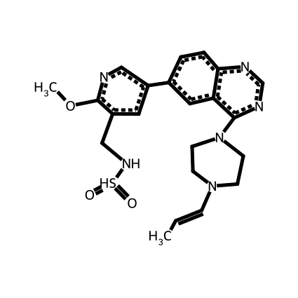 CC=CN1CCN(c2ncnc3ccc(-c4cnc(OC)c(CN[SH](=O)=O)c4)cc23)CC1